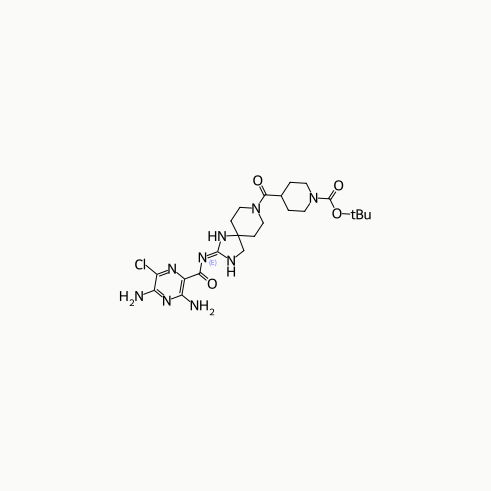 CC(C)(C)OC(=O)N1CCC(C(=O)N2CCC3(CC2)CN/C(=N\C(=O)c2nc(Cl)c(N)nc2N)N3)CC1